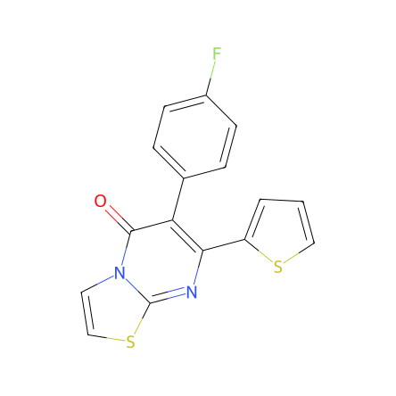 O=c1c(-c2ccc(F)cc2)c(-c2cccs2)nc2sccn12